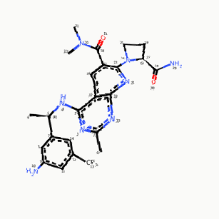 Cc1nc(N[C@H](C)c2cc(N)cc(C(F)(F)F)c2)c2cc(C(=O)N(C)C)c(N3CC[C@H]3C(N)=O)nc2n1